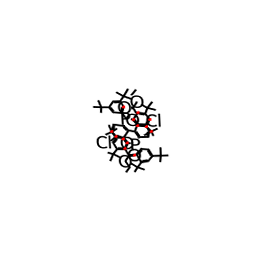 CCOC(=O)COc1c(Cl)ccc(P(c2cc(C(C)(C)C)cc(C(C)(C)C)c2)c2cc(C(C)(C)C)cc(C(C)(C)C)c2)c1-c1c(P(c2cc(C(C)(C)C)cc(C(C)(C)C)c2)c2cc(C(C)(C)C)cc(C(C)(C)C)c2)ccc(Cl)c1OCC(=O)OCC